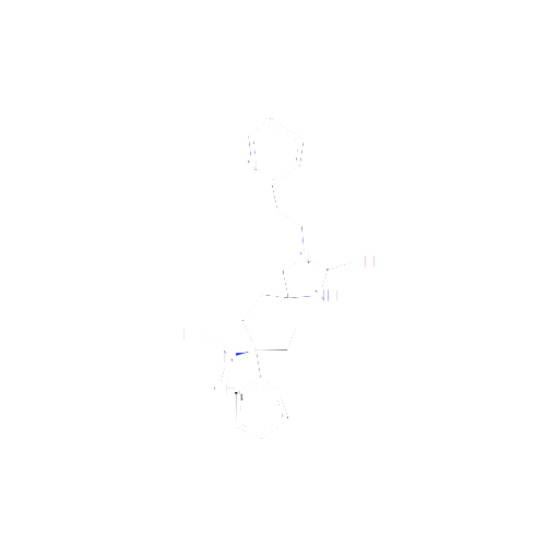 CN(C)[C@]1(c2ccccc2)CC[C@]2(CC1)CN(CCc1ccccn1)C(O)N2